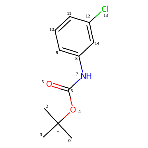 CC(C)(C)OC(=O)Nc1cccc(Cl)c1